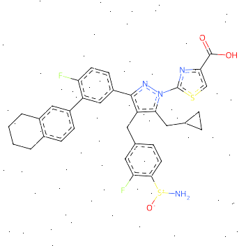 N[S+]([O-])c1ccc(Cc2c(-c3ccc(F)c(-c4ccc5c(c4)CCCC5)c3)nn(-c3nc(C(=O)O)cs3)c2CC2CC2)cc1F